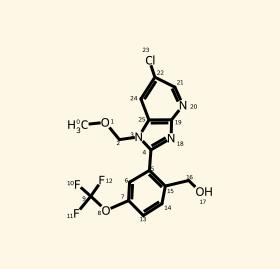 COCn1c(-c2cc(OC(F)(F)F)ccc2CO)nc2ncc(Cl)cc21